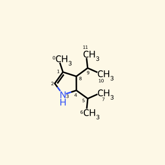 CC1=CNC(C(C)C)C1C(C)C